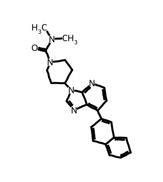 CN(C)C(=O)N1CCC(n2cnc3c(-c4ccc5ccccc5c4)ccnc32)CC1